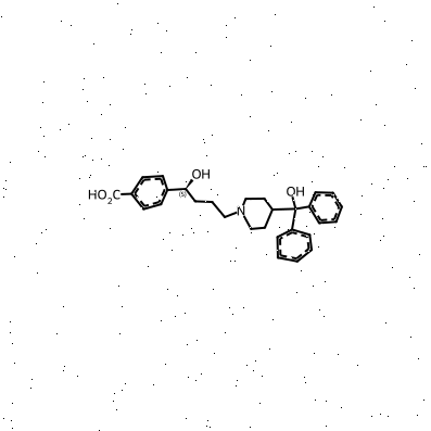 O=C(O)c1ccc([C@@H](O)CCCN2CCC(C(O)(c3ccccc3)c3ccccc3)CC2)cc1